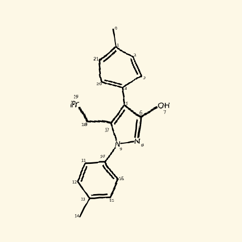 Cc1ccc(-c2c(O)nn(-c3ccc(C)cc3)c2CC(C)C)cc1